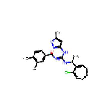 Cc1ccc(C(=O)/N=C(\Nc2cc(C(F)(F)F)[nH]n2)NC(C)C2=CCCCC=C2Cl)cc1C